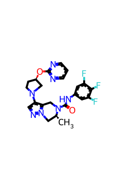 C[C@H]1Cn2ncc(N3CC[C@@H](Oc4ncccn4)C3)c2CN1C(=O)Nc1cc(F)c(F)c(F)c1